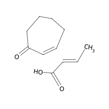 C/C=C/C(=O)O.O=C1C=CCCCC1